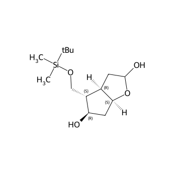 CC(C)(C)[Si](C)(C)OC[C@@H]1[C@H]2CC(O)O[C@H]2C[C@H]1O